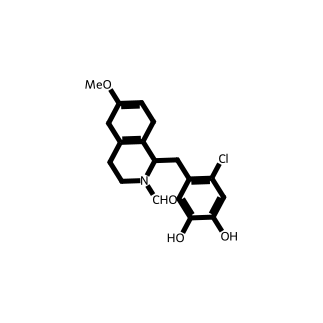 COC1=CCC2=C(CCN(C=O)C2Cc2cc(O)c(O)cc2Cl)C1